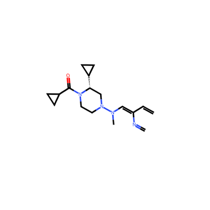 C=C/C(=C/N(C)N1CCN(C(=O)C2CC2)[C@H](C2CC2)C1)N=C